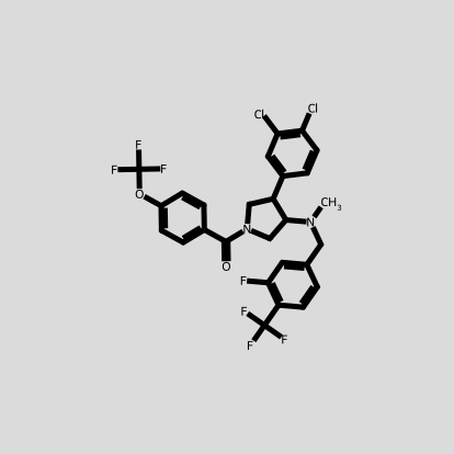 CN(Cc1ccc(C(F)(F)F)c(F)c1)C1CN(C(=O)c2ccc(OC(F)(F)F)cc2)CC1c1ccc(Cl)c(Cl)c1